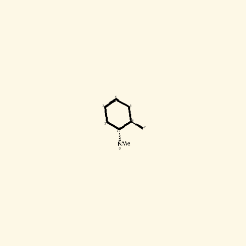 CN[C@@H]1CCCC[C@H]1C